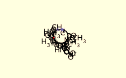 COc1cc2cc(c1Cl)N(C)C(=O)C[C@H](OC(=O)Nc1ccc([N+](=O)[O-])cc1Br)[C@]1(C)O[C@H]1[C@H](C)[C@@H]1C[C@@](O)(NC(=O)O1)[C@H](OC)/C=C/C=C(\C)C2